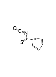 O=C=NC(=S)c1ccccc1